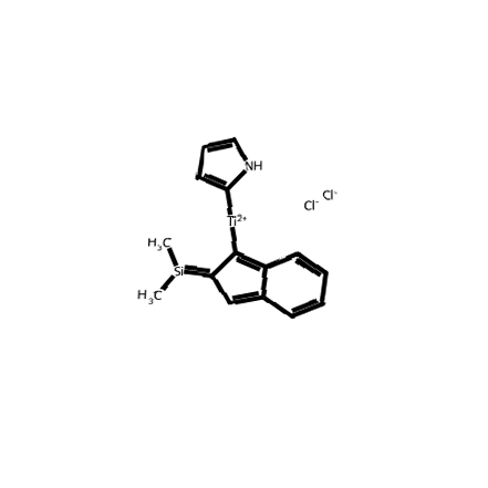 C[Si](C)=C1C=c2ccccc2=[C]1[Ti+2][c]1ccc[nH]1.[Cl-].[Cl-]